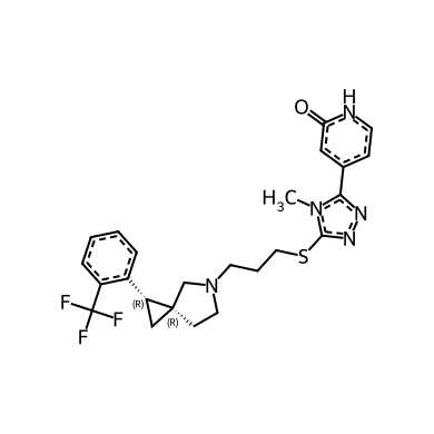 Cn1c(SCCCN2CC[C@@]3(C[C@@H]3c3ccccc3C(F)(F)F)C2)nnc1-c1cc[nH]c(=O)c1